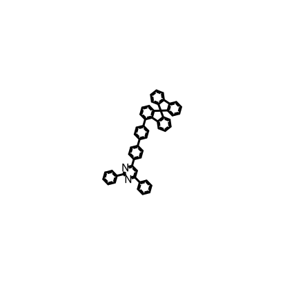 c1ccc(-c2cc(-c3ccc(-c4ccc(-c5cccc6c5-c5ccccc5C65c6ccccc6-c6ccccc65)cc4)cc3)nc(-c3ccccc3)n2)cc1